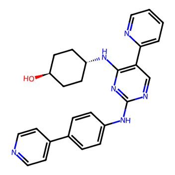 O[C@H]1CC[C@H](Nc2nc(Nc3ccc(-c4ccncc4)cc3)ncc2-c2ccccn2)CC1